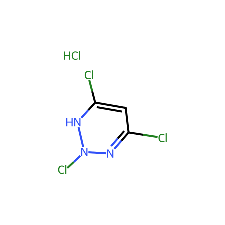 Cl.ClC1=CC(Cl)=NN(Cl)N1